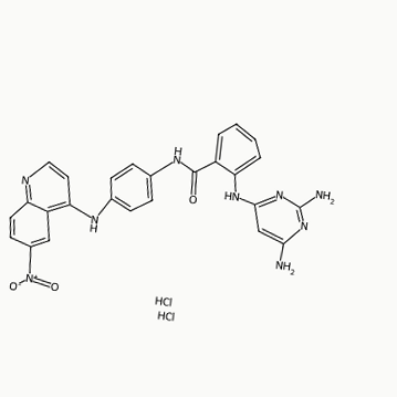 Cl.Cl.Nc1cc(Nc2ccccc2C(=O)Nc2ccc(Nc3ccnc4ccc([N+](=O)[O-])cc34)cc2)nc(N)n1